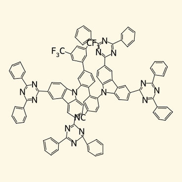 N#Cc1ccc(-n2c3ccc(-c4nc(-c5ccccc5)nc(-c5ccccc5)n4)cc3c3cc(-c4nc(-c5ccccc5)nc(-c5ccccc5)n4)ccc32)c(-c2ccc(-c3cc(C(F)(F)F)cc(C(F)(F)F)c3)cc2-n2c3ccc(-c4nc(-c5ccccc5)nc(-c5ccccc5)n4)cc3c3cc(-c4nc(-c5ccccc5)nc(-c5ccccc5)n4)ccc32)c1